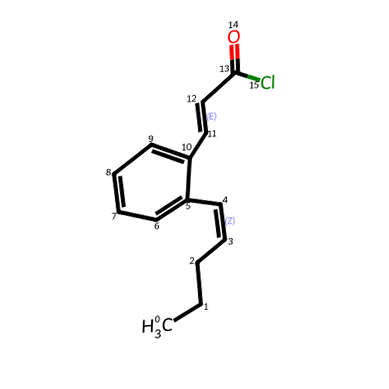 CCC/C=C\c1ccccc1/C=C/C(=O)Cl